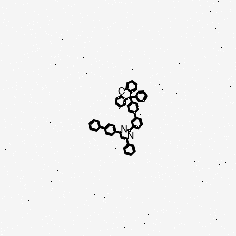 c1ccc(-c2ccc(-c3cc(-c4ccccc4)nc(-c4cccc(-c5ccc(C6(c7ccccc7)c7ccccc7Oc7ccccc76)cc5)c4)n3)cc2)cc1